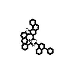 c1ccc(-c2nc(-c3ccc(-c4ccccc4)c4ccccc34)nc(-c3cc4ccc5ccccc5c4c4oc5ccc6ccccc6c5c34)n2)cc1